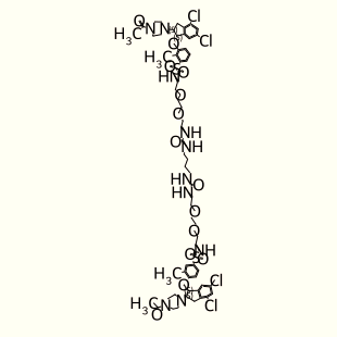 CC(=O)N1CCN([C@H]2Cc3c(Cl)cc(Cl)cc3[C@@H]2Oc2ccc(S(=O)(=O)NCCOCCOCCNC(=O)NCCCCNC(=O)NCCOCCOCCNS(=O)(=O)c3cccc(O[C@H]4c5cc(Cl)cc(Cl)c5C[C@@H]4N4CCN(C(C)=O)CC4)c3C)cc2C)CC1